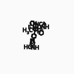 Cc1c(-c2ccc(N3CC[SH](=N)(O)CC3)cc2)c([C@@H]2CCCC[C@H]2C(=O)NC2(C#N)CC2)nn1-c1ncccc1F